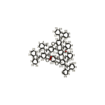 Fc1cccc(F)c1N1c2cc3c(cc2B2c4ccccc4Oc4cc(-n5c6ccccc6c6ccccc65)cc1c42)B1c2cc4c(cc2N(c2c(F)cccc2F)c2cc(-n5c6ccccc6c6ccccc65)cc(c21)O3)N(c1c(F)cccc1F)c1cc(-n2c3ccccc3c3ccccc32)cc2c1B4c1ccccc1O2